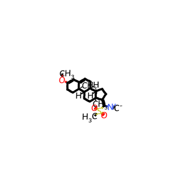 [C-]#[N+]/C(=C1\CC[C@H]2[C@@H]3CC=C4C=C(OC)CC[C@]4(C)[C@H]3CC[C@]12C)S(C)(=O)=O